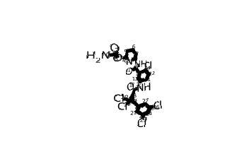 NC(=O)Oc1cccc(NC(=O)c2cc(NC(=O)C3C(c4cc(Cl)cc(Cl)c4)C3(Cl)Cl)ccc2Cl)n1